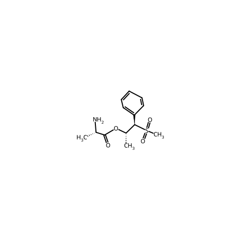 C[C@H](N)C(=O)O[C@@H](C)[C@@H](c1ccccc1)S(C)(=O)=O